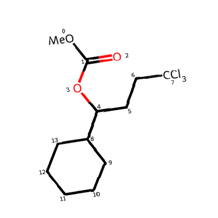 COC(=O)OC(CCC(Cl)(Cl)Cl)C1CCCCC1